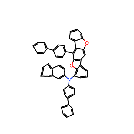 c1ccc(-c2ccc(-c3c4oc5c(N(c6ccc(-c7ccccc7)cc6)c6ccc7ccccc7c6)cccc5c4cc4oc5ccccc5c34)cc2)cc1